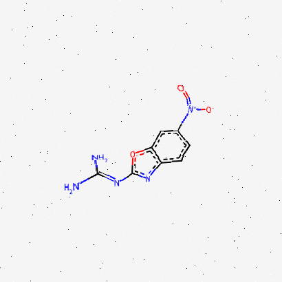 NC(N)=Nc1nc2ccc([N+](=O)[O-])cc2o1